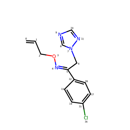 C=CCON=C(Cn1cncn1)c1ccc(Cl)cc1